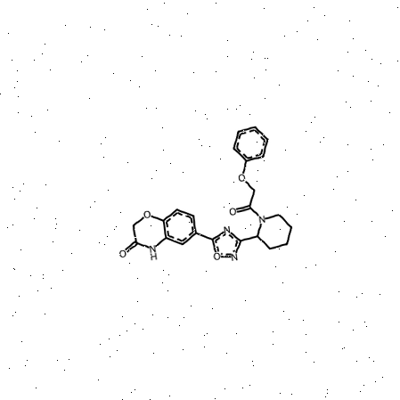 O=C1COc2ccc(-c3nc(C4CCCCN4C(=O)COc4ccccc4)no3)cc2N1